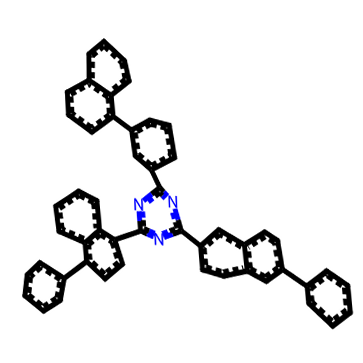 c1ccc(-c2ccc3cc(-c4nc(-c5cccc(-c6cccc7ccccc67)c5)nc(-c5ccc(-c6ccccc6)c6ccccc56)n4)ccc3c2)cc1